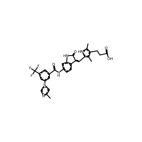 Cc1cn(-c2cc(C(=O)Nc3ccc4c(c3)NC(=O)C4=Cc3[nH]c(C)c(CCC(=O)O)c3C)cc(C(F)(F)F)c2)cn1